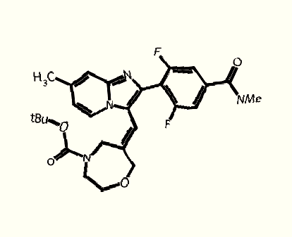 CNC(=O)c1cc(F)c(-c2nc3cc(C)ccn3c2C=C2COCCN(C(=O)OC(C)(C)C)C2)c(F)c1